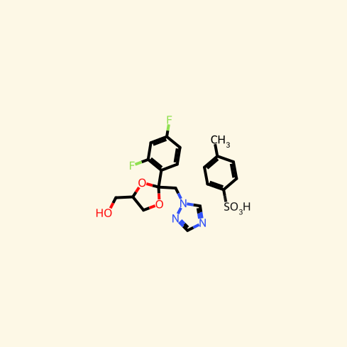 Cc1ccc(S(=O)(=O)O)cc1.OCC1COC(Cn2cncn2)(c2ccc(F)cc2F)O1